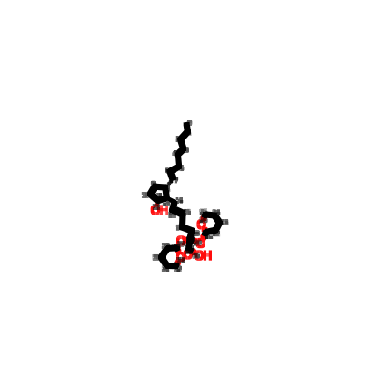 CCCCCCCC[C@H]1CC[C@H](O)[C@@H]1CC=CCCC(OC1CCCCO1)(OC1CCCCO1)C(=O)O